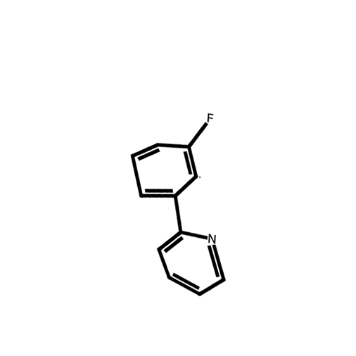 Fc1[c]c(-c2ccccn2)ccc1